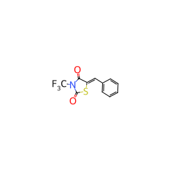 O=C1S/C(=C\c2ccccc2)C(=O)N1C(F)(F)F